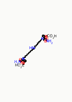 Cc1c(C(=O)C(N)=O)c2c(OCC(=O)O)cccc2n1CCCCCCCCCCCCNCCCCCCCCCCCCn1c(C)c(C(=O)C(N)=O)c2c(OCC(=O)O)cccc21